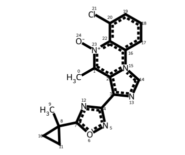 Cc1c2c(-c3noc(C4(C)CC4)n3)ncn2c2cccc(Cl)c2[n+]1[O-]